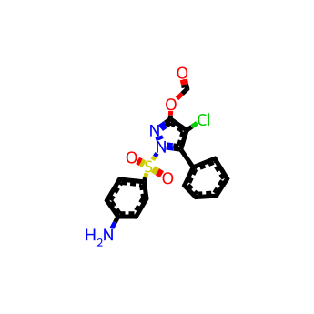 Nc1ccc(S(=O)(=O)n2nc(OC=O)c(Cl)c2-c2ccccc2)cc1